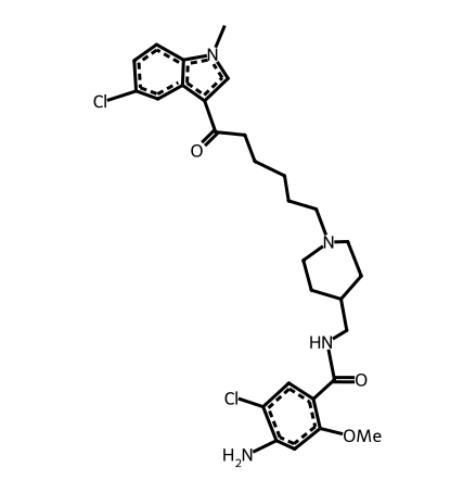 COc1cc(N)c(Cl)cc1C(=O)NCC1CCN(CCCCCC(=O)c2cn(C)c3ccc(Cl)cc23)CC1